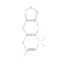 CC[N+]1([O-])C=C(C(=O)O)Cc2cc3sccc3nc21